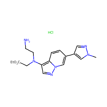 CCOC(=O)CN(CCN)c1cnn2cc(-c3cnn(C)c3)ccc12.Cl